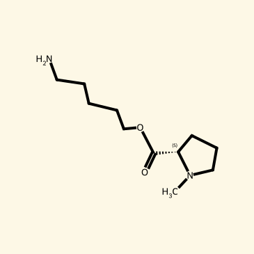 CN1CCC[C@H]1C(=O)OCCCCCN